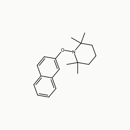 CC1(C)CCCC(C)(C)N1Oc1ccc2ccccc2c1